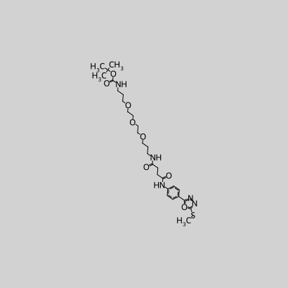 CSc1nnc(-c2ccc(NC(=O)CCC(=O)NCCCOCCOCCOCCCNC(=O)OC(C)(C)C)cc2)o1